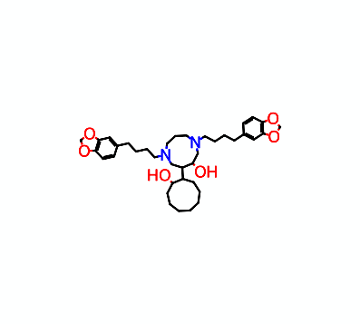 OC1CCCCCCCC1C1CN(CCCCc2ccc3c(c2)OCO3)CCCN(CCCCc2ccc3c(c2)OCO3)CC1O